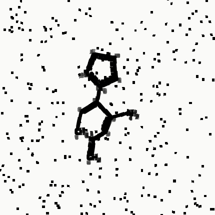 C=N/C=C(N)\C(=C/C)n1cccn1